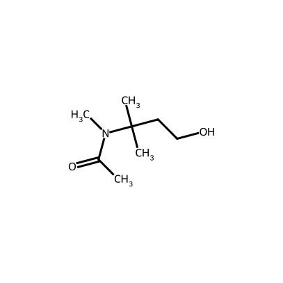 CC(=O)N(C)C(C)(C)CCO